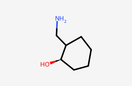 NCC1CCCC[C@H]1O